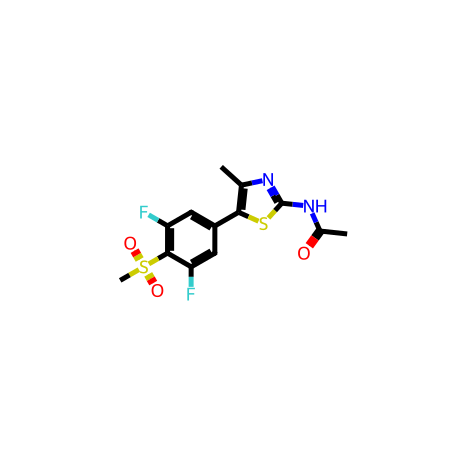 CC(=O)Nc1nc(C)c(-c2cc(F)c(S(C)(=O)=O)c(F)c2)s1